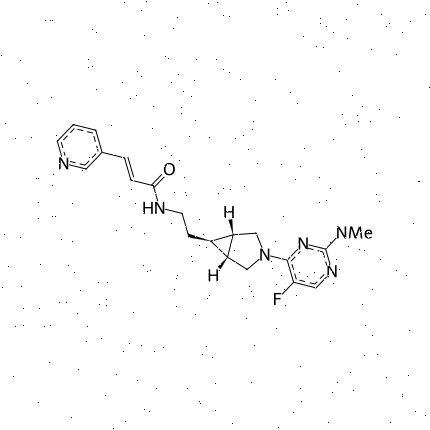 CNc1ncc(F)c(N2C[C@@H]3[C@@H](CCNC(=O)/C=C/c4cccnc4)[C@@H]3C2)n1